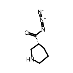 [N-]=[N+]=NC(=O)[C@@H]1CCCNC1